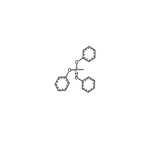 C[PH](Oc1ccccc1)(Oc1ccccc1)Oc1ccccc1